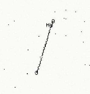 O=CCCCCCCCCCCCCCCCCCCCCCCCCCCCCCCCCNCC=O